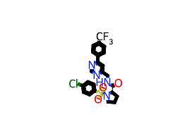 O=C(NCc1cc(-c2ccc(C(F)(F)F)cc2)ncn1)[C@@H]1CCCN1S(=O)(=O)c1ccc(Cl)cc1